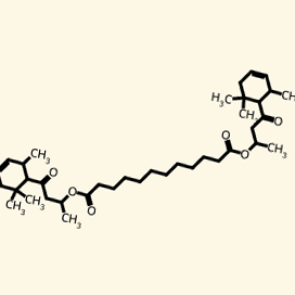 CC(CC(=O)C1C(C)C=CCC1(C)C)OC(=O)CCCCCCCCCCC(=O)OC(C)CC(=O)C1C(C)C=CCC1(C)C